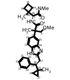 CNC(=O)[C@H](NC(=O)C(C)(COC)c1ccc2[nH]c(C[C@H](c3ccccc3)C3(C)CC3)nc2c1)C1(C)CCC1